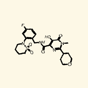 Cn1c(C2CCOCC2)nc(C(=O)NCc2ccc(F)cc2N2CCCCS2(=O)=O)c(O)c1=O